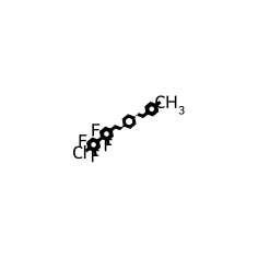 Cc1ccc(CC[C@H]2CC[C@H](CCc3cc(F)c(-c4cc(F)c(Cl)c(F)c4)c(F)c3)CC2)cc1